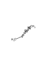 CCCCCCCCCSc1ccc(-c2ccc(C(=O)Oc3ccc(-c4ncc(CC)cn4)cc3)cc2)cc1